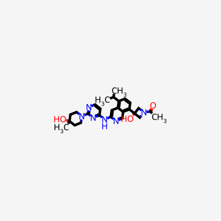 CC(=O)N1CC(O)(c2ccc(C(C)C)c3cc(Nc4ccnc(N5CCC(C)(O)CC5)n4)ncc23)C1